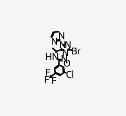 CC(Nc1noc2c(Cl)cc(C(F)(F)F)cc12)c1nc(Br)nn1-c1ncccn1